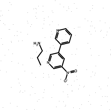 CCCN.O=[N+]([O-])c1cncc(-c2cccnc2)c1